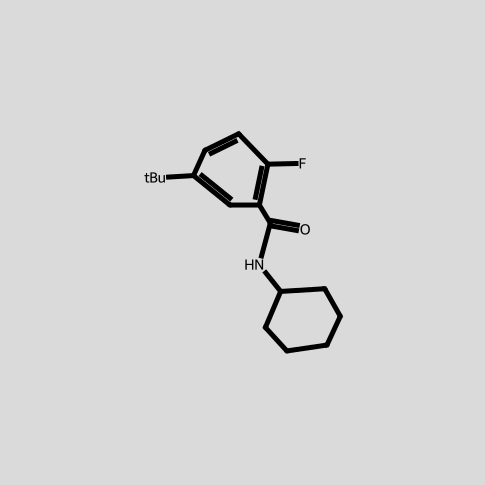 CC(C)(C)c1ccc(F)c(C(=O)NC2CCCCC2)c1